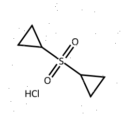 Cl.O=S(=O)(C1CC1)C1CC1